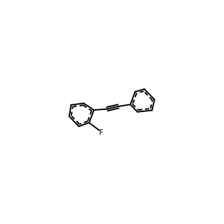 Fc1ccccc1C#Cc1ccccc1